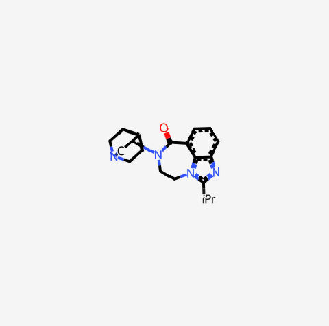 CC(C)c1nc2cccc3c2n1CCN(C1CN2CCC1CC2)C3=O